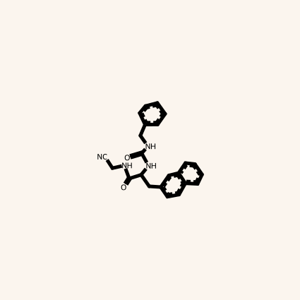 N#CCNC(=O)C(Cc1ccc2ccccc2c1)NC(=O)NCc1ccccc1